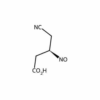 N#CC[C@H](CC(=O)O)N=O